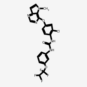 Cn1ccc2ncnc(Oc3ccc(NC(=O)Nc4cccc(OC(F)(F)C(F)F)c4)c(Cl)c3)c21